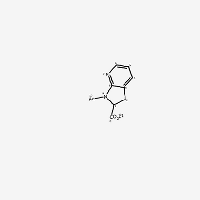 CCOC(=O)C1Cc2cccnc2N1C(C)=O